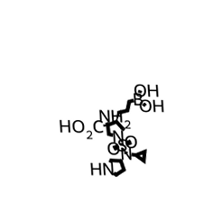 N[C@@]1(C(=O)O)CN(S(=O)(=O)N(C2CC2)[C@H]2CCNC2)C[C@@H]1CCCB(O)O